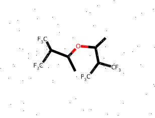 CC(OC(C)C(C(F)(F)F)C(F)(F)F)C(C(F)(F)F)C(F)(F)F